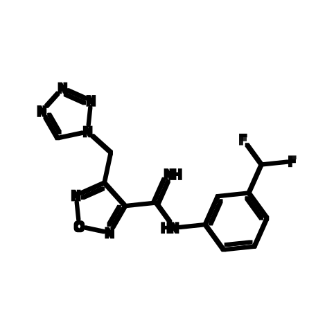 N=C(Nc1cccc(C(F)F)c1)c1nonc1Cn1cnnn1